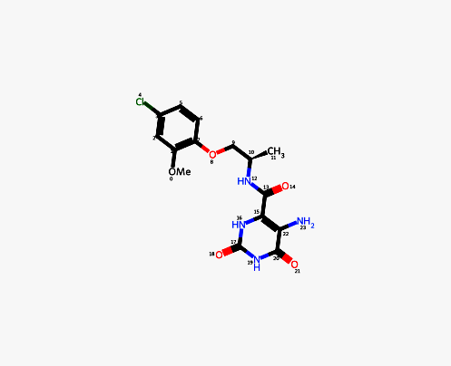 COc1cc(Cl)ccc1OC[C@@H](C)NC(=O)c1[nH]c(=O)[nH]c(=O)c1N